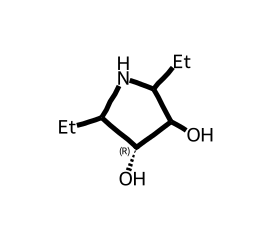 CCC1NC(CC)[C@@H](O)C1O